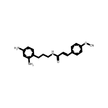 N#COc1ccc(/C=C/C(=O)NCCCc2ccc(N)cc2N)cc1